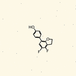 Oc1ccc(-c2cc(F)c(F)c3c2OCC3)cc1